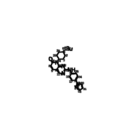 CC(C)(C)C1CCC(n2c(=O)ccc3cnc(Nc4ccc(-n5cccn5)cc4)nc32)CC1